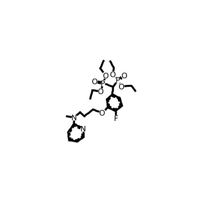 CCOP(=O)(OCC)C(c1ccc(F)c(OCCCN(C)c2ccccn2)c1)P(=O)(OCC)OCC